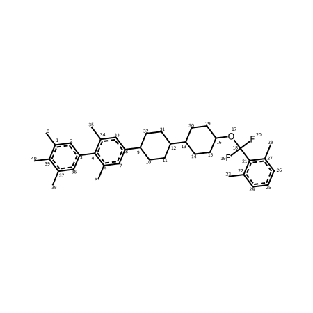 Cc1cc(-c2c(C)cc(C3CCC(C4CCC(OC(F)(F)c5c(C)cccc5C)CC4)CC3)cc2C)cc(C)c1C